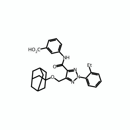 CCc1ccccc1-n1nc(COC23CC4CC(CC(C4)C2)C3)c(C(=O)Nc2cccc(C(=O)O)c2)n1